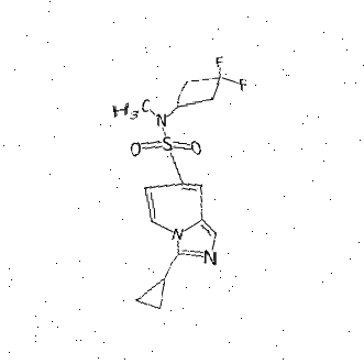 CN(C1CC(F)(F)C1)S(=O)(=O)c1ccn2c(C3CC3)ncc2c1